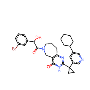 O=C(C(O)c1cccc(Br)c1)N1CCCc2nc(C3(c4cncc(C5CCCCC5)c4)CC3)[nH]c(=O)c2C1